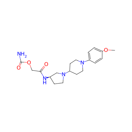 COc1ccc(N2CCC(N3CC[C@@H](NC(=O)COC(N)=O)C3)CC2)cc1